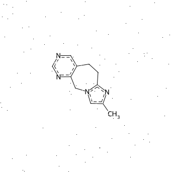 Cc1cn2c(n1)CCc1cncnc1C2